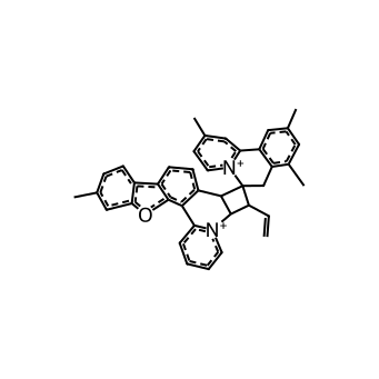 C=CC1C2C(c3ccc4c(oc5cc(C)ccc54)c3-c3cccc[n+]32)C12Cc1c(C)cc(C)cc1-c1cc(C)cc[n+]12